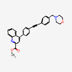 COC(=O)c1cc(-c2ccc(C#Cc3ccc(CN4CCOCC4)cc3)cc2)c2ccccc2n1